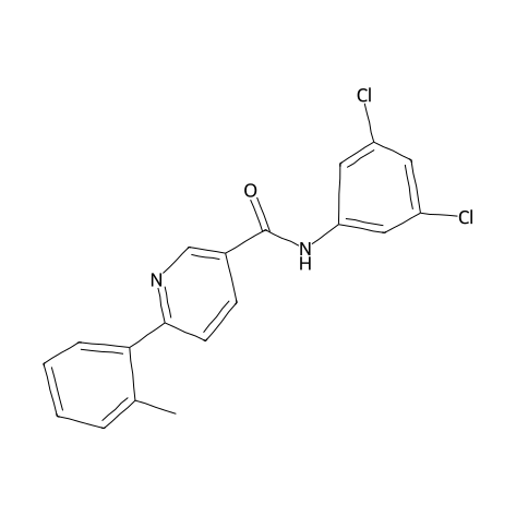 Cc1ccccc1-c1ccc(C(=O)Nc2cc(Cl)cc(Cl)c2)cn1